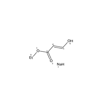 CCOC(=O)C=CO.[NaH]